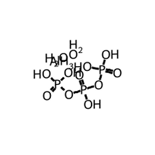 O.O.O=P(O)(O)OP(=O)(O)OP(=O)(O)O.[AlH3]